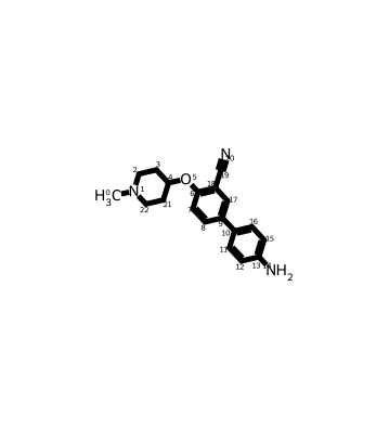 CN1CCC(Oc2ccc(-c3ccc(N)cc3)cc2C#N)CC1